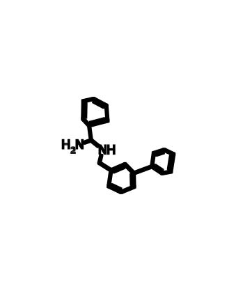 NC(NCc1cccc(-c2ccccc2)c1)c1ccccc1